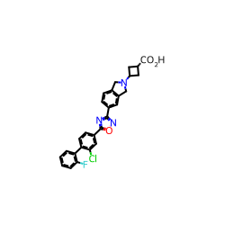 O=C(O)C1CC(N2Cc3ccc(-c4noc(-c5ccc(-c6ccccc6F)c(Cl)c5)n4)cc3C2)C1